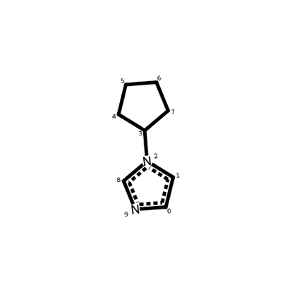 c1cn(C2CCCC2)cn1